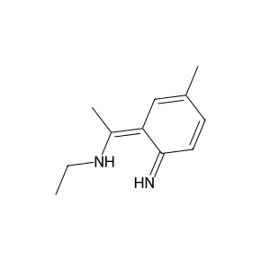 CCN/C(C)=C1/C=C(C)C=CC1=N